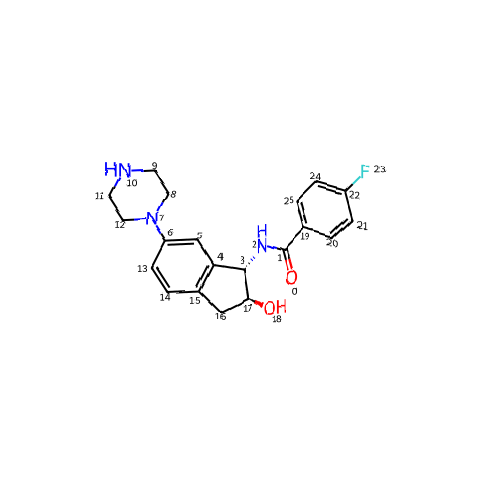 O=C(N[C@H]1c2cc(N3CCNCC3)ccc2C[C@@H]1O)c1ccc(F)cc1